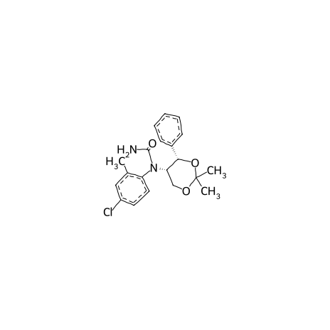 Cc1cc(Cl)ccc1N(C(N)=O)[C@H]1COC(C)(C)O[C@H]1c1ccccc1